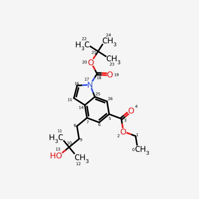 CCOC(=O)c1cc(CCC(C)(C)O)c2ccn(C(=O)OC(C)(C)C)c2c1